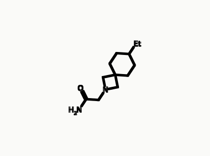 CCC1CCC2(CC1)CN(CC(N)=O)C2